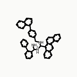 NC(NC(NCc1ccc(-c2cccc3ccccc23)cc1)c1c2ccccc2cc2c1ccc1ccccc12)c1ccccc1-c1ccccc1